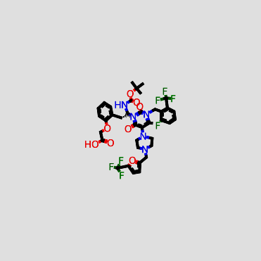 Cc1c(N2CCN(Cc3ccc(C(F)(F)F)o3)CC2)c(=O)n([C@H](Cc2ccccc2OCC(=O)O)NC(=O)OC(C)(C)C)c(=O)n1Cc1c(F)cccc1C(F)(F)F